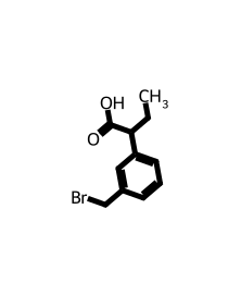 CCC(C(=O)O)c1cccc(CBr)c1